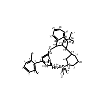 Cc1cccc(C)c1-c1cc2nc(n1)NS(=O)(=O)N1CCCC(C1)C1Cc3ccccc3C(O2)C1CC(C)C